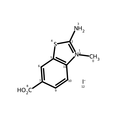 C[n+]1c(N)sc2cc(C(=O)O)ccc21.[I-]